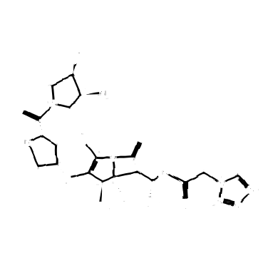 C[C@@H](NC(=O)Cn1cnnn1)[C@H]1C(=O)N2C(C(=O)O)=C(S[C@@H]3CN[C@H](C(=O)N4C[C@@H](F)[C@@H](N)C4)C3)[C@H](C)[C@H]12